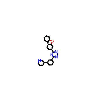 c1cncc(-c2cccc(-c3ncnc(-c4ccc5c(c4)oc4ccccc45)n3)c2)c1